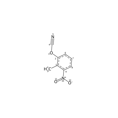 Cc1c(OC#N)cccc1[N+](=O)[O-]